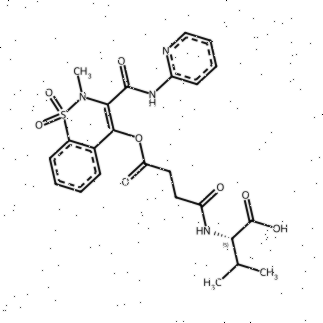 CC(C)[C@H](NC(=O)CCC(=O)OC1=C(C(=O)Nc2ccccn2)N(C)S(=O)(=O)c2ccccc21)C(=O)O